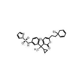 CCC1(CCc2cc(O)c(C(C)(c3cccc(NS(=O)(=O)n4cccn4)c3)C3CC3)c(=O)o2)C=CC=CC1